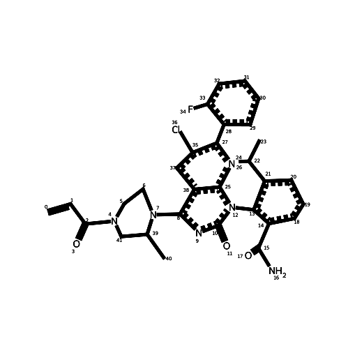 C=CC(=O)N1CCN(c2nc(=O)n(-c3c(C(N)=O)cccc3C(C)C)c3nc(-c4ccccc4F)c(Cl)cc23)C(C)C1